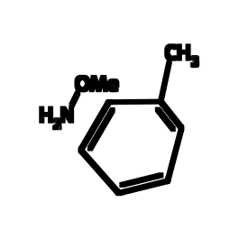 CON.Cc1ccccc1